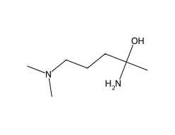 CN(C)CCCC(C)(N)O